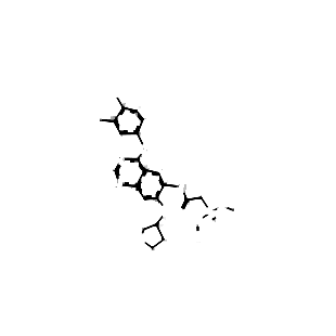 CCOP(=O)(CC(=O)Nc1cc2c(Nc3ccc(F)c(Cl)c3)ncnc2cc1OC1CCOC1)OCC